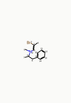 CC(Br)=CN(C)C(C)Cc1ccccc1